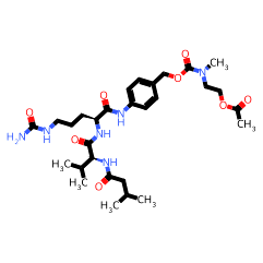 CC(=O)OCCN(C)C(=O)OCc1ccc(NC(=O)[C@H](CCCNC(N)=O)NC(=O)[C@@H](NC(=O)CC(C)C)C(C)C)cc1